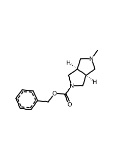 CN1C[C@@H]2CN(C(=O)OCc3ccccc3)C[C@@H]2C1